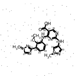 COc1c(Nc2nc(Nc3cnn(C)c3)ncc2C(=O)O)cccc1-c1ncn(C)n1